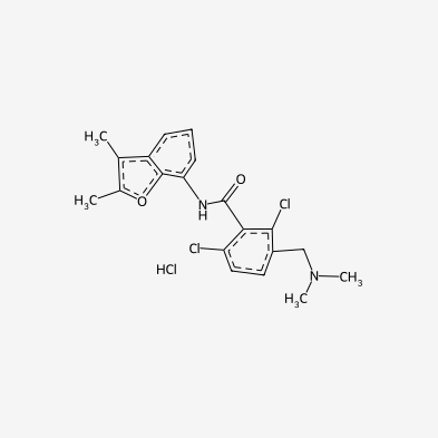 Cc1oc2c(NC(=O)c3c(Cl)ccc(CN(C)C)c3Cl)cccc2c1C.Cl